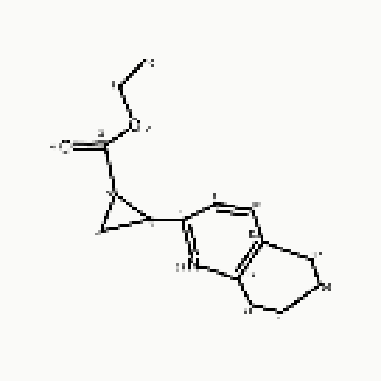 CCOC(=O)C1CC1c1ccc2c(n1)CCCC2